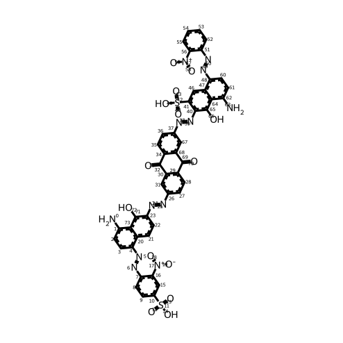 Nc1ccc(N=Nc2ccc(S(=O)(=O)O)cc2[N+](=O)[O-])c2ccc(N=Nc3ccc4c(c3)C(=O)c3ccc(N=Nc5c(S(=O)(=O)O)cc6c(N=Nc7ccccc7[N+](=O)[O-])ccc(N)c6c5O)cc3C4=O)c(O)c12